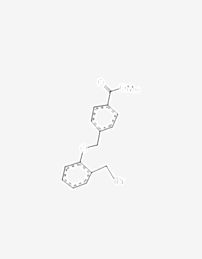 COC(=O)c1ccc(COc2ccccc2CC(C)C)cc1